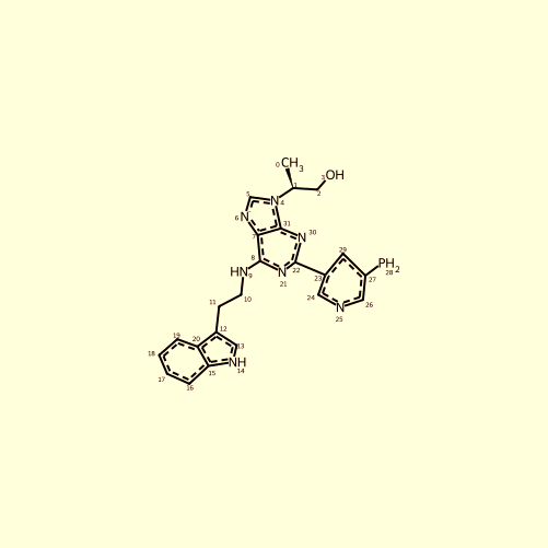 C[C@@H](CO)n1cnc2c(NCCc3c[nH]c4ccccc34)nc(-c3cncc(P)c3)nc21